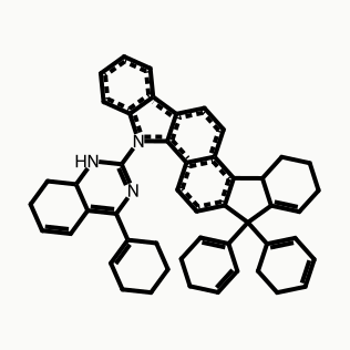 C1=CCCC(C2(C3=CCCC=C3)C3=CCCCC3c3c2ccc2c3ccc3c4ccccc4n(C4=NC(C5=CCCCC5)=C5C=CCCC5N4)c23)=C1